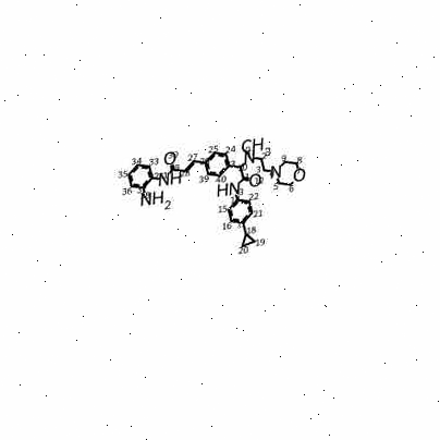 CN(CCN1CCOCC1)C(C(=O)Nc1ccc(C2CC2)cc1)c1ccc(/C=C/C(=O)Nc2ccccc2N)cc1